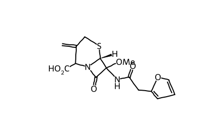 C=C1CS[C@H]2N(C(=O)C2(NC(=O)Cc2ccco2)OC)C1C(=O)O